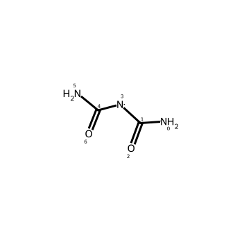 NC(=O)[N]C(N)=O